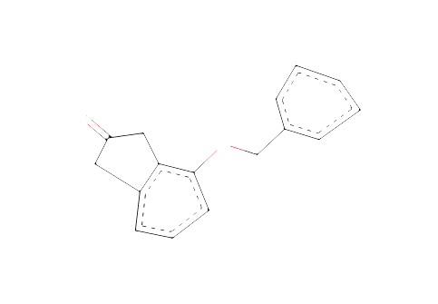 O=C1Cc2cccc(OCc3ccccc3)c2C1